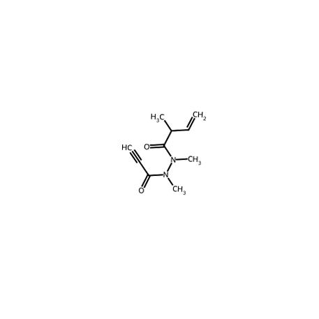 C#CC(=O)N(C)N(C)C(=O)C(C)C=C